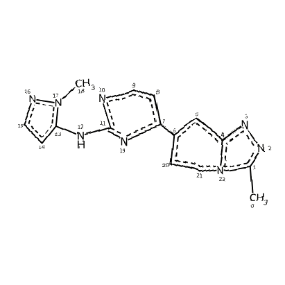 Cc1nnc2cc(-c3ccnc(Nc4ccnn4C)n3)ccn12